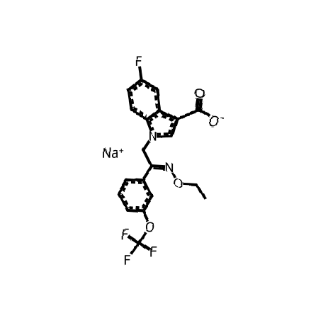 CCON=C(Cn1cc(C(=O)[O-])c2cc(F)ccc21)c1cccc(OC(F)(F)F)c1.[Na+]